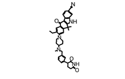 CCc1cc2c(cc1N1CCC(N(C)Cc3cccc(C4CCC(=O)NC4=O)c3)CC1)C(C)(C)c1[nH]c3cc(C#N)ccc3c1C2=O